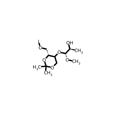 CO[C@H](OC1COC(C)(C)O[C@@H]1COI)[C@H](C)O